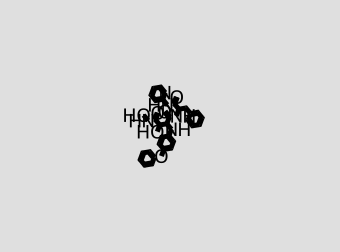 O=C(Nc1ccccn1)C(Cc1ccccc1)NC(=O)C(Nc1ccc(Oc2ccccc2)cc1)C(O)C(=O)NO